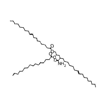 CCCCCCCCC=CCCCCCCCC(=O)OCC(CC(CCCCCCC=CCCCCCCCC)C(N)=O)OC(=O)CCCCCCCCCCCCCCC